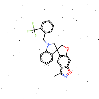 Cc1noc2cc3c(cc12)C1(CO3)CN(Cc2ccccc2C(F)(F)F)c2ccccc21